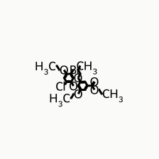 CCCOC(=O)c1cc(OCCC)c(Oc2cc(Br)c(OCCC)cc2Cl)c(OCCC)c1